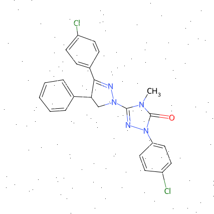 Cn1c(N2CC(c3ccccc3)C(c3ccc(Cl)cc3)=N2)nn(-c2ccc(Cl)cc2)c1=O